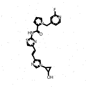 O=C(Nc1nc(/C=C/c2cn(C3CC3O)cn2)cs1)c1cccn1Cc1ccnc(F)c1